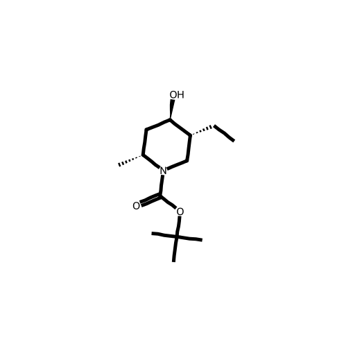 CC[C@@H]1CN(C(=O)OC(C)(C)C)[C@H](C)C[C@H]1O